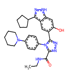 CCNC(=O)c1nnc(-c2cc3c(C4CCCC4)n[nH]c3cc2O)n1-c1ccc(N2CCCCC2)cc1